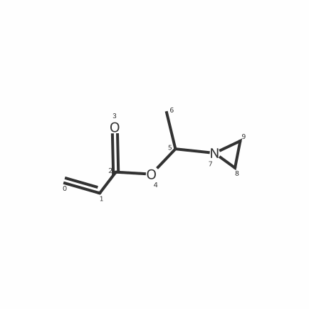 C=CC(=O)OC(C)N1CC1